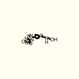 Cn1c(=O)c2nc(-c3ccc(OCCNCCO)cc3)nnc2n(C)c1=O